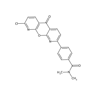 CN(C)C(=O)c1ccc(-c2ccc3c(=O)c4ccc(Cl)nc4oc3n2)cc1